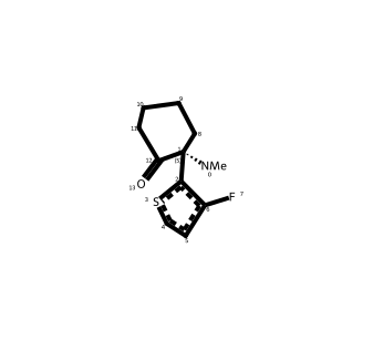 CN[C@@]1(c2sccc2F)CCCCC1=O